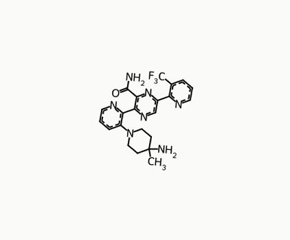 CC1(N)CCN(c2cccnc2-c2ncc(-c3ncccc3C(F)(F)F)nc2C(N)=O)CC1